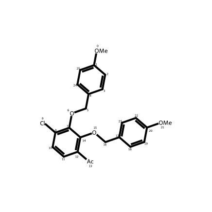 COc1ccc(COc2c(Cl)ccc(C(C)=O)c2OCc2ccc(OC)cc2)cc1